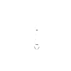 CCCC(=O)OCOCCc1ccccc1